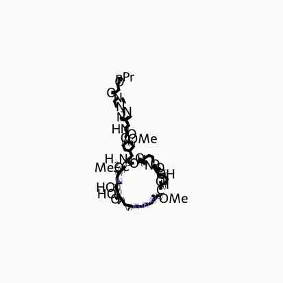 CCCOCCC(=O)N1CCN(c2ncc(CNC(=O)O[C@@H]3CCC(C[C@@H](N)[C@@H]4C[C@@H](OC)[C@H](C)/C=C(\C)[C@@H](O)[C@@H](O)C(=O)[C@H](C)C[C@H](C)/C=C/C=C/C=C(\C)[C@@H](OC)C[C@@H]5CC[C@@H](C)[C@@](O)(O5)C(=O)C(=O)N5CCCC[C@H]5C(=O)O4)C[C@H]3OC)cn2)CC1